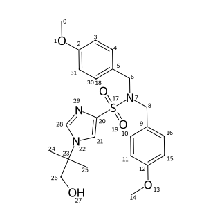 COc1ccc(CN(Cc2ccc(OC)cc2)S(=O)(=O)c2cn(C(C)(C)CO)cn2)cc1